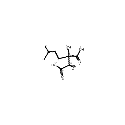 CC(C)CCC(S)(C(=O)O)C(S)C(=O)O